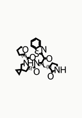 O=C1NCC[C@H]1C[C@@H](NC(=O)[C@@H]1CC2(CC2)CN1C(=O)[C@H]1CCCO1)C(=O)c1nc2ccccc2s1